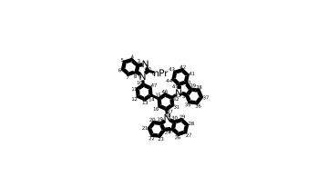 CCCc1nc2ccccc2n1-c1cccc(-c2cc(-n3c4ccccc4c4ccccc43)cc(-n3c4ccccc4c4ccccc43)c2)c1